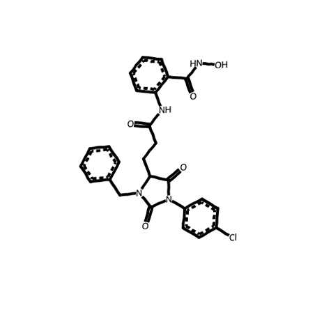 O=C(CCC1C(=O)N(c2ccc(Cl)cc2)C(=O)N1Cc1ccccc1)Nc1ccccc1C(=O)NO